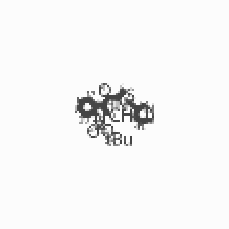 Cc1c(C(=O)C2=CSC(c3cccnc3)N2)c2ccccc2n1C(=O)OC(C)(C)C